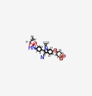 C[C@@H](OC(=O)Nc1ccc(-c2c(C#N)c3ccc(OC4CCS(=O)(=O)CC4)cc3n2C2CC2)cc1)C1CC1